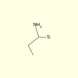 CC[CH](N)[Ti]